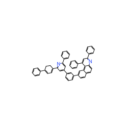 C1=C(c2ccccc2)CCC(c2cc(-c3cccc(-c4ccc5ccc6nc(-c7ccccc7)cc(-c7ccccc7)c6c5c4)c3)cc(-c3ccccc3)n2)=C1